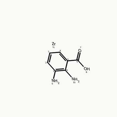 Nc1cccc(C(=O)O)c1N.[Zr]